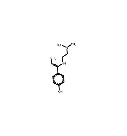 CN(C)CCNC(=NN)c1ccc(O)cc1